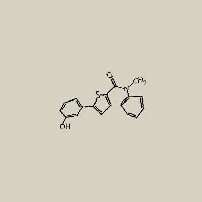 CN(C(=O)c1ccc(-c2cccc(O)c2)s1)c1ccccc1